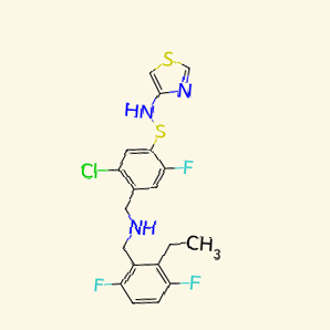 CCc1c(F)ccc(F)c1CNCc1cc(F)c(SNc2cscn2)cc1Cl